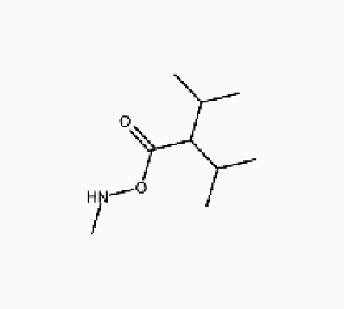 CNOC(=O)C(C(C)C)C(C)C